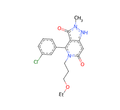 CCOCCCn1c(-c2cccc(Cl)c2)c2c(=O)n(C)[nH]c2cc1=O